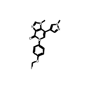 Cn1cc(-c2cn(-c3ccc(OCF)cc3)c(=O)c3ncn(C)c23)cn1